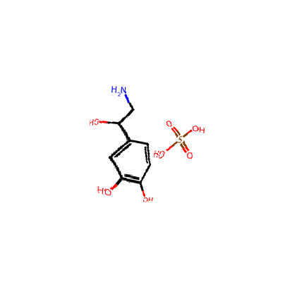 NCC(O)c1ccc(O)c(O)c1.O=S(=O)(O)O